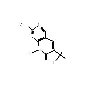 CSc1ncc2cc(C(F)(F)Cl)c(=O)n(C(C)C)c2n1